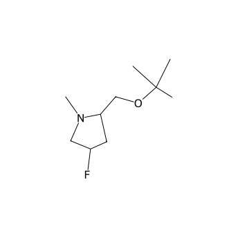 CN1CC(F)CC1COC(C)(C)C